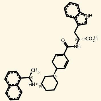 C[C@@H](N[C@H]1CCC[C@H](C2C=CC(C(=O)N[C@H](Cc3c[nH]c4ccccc34)C(=O)O)=CC2)C1)c1cccc2ccccc12